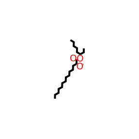 CCCCCCCCCCCCC(OC)C(=O)OC(CC)CCCCC